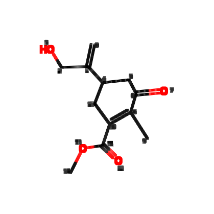 C=C(CO)C1CC(=O)C(C)=C(C(=O)OC)C1